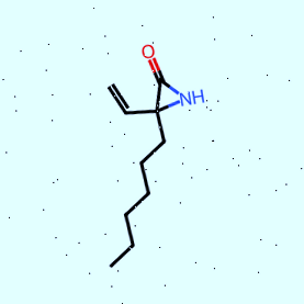 C=CC1(CCCCCC)NC1=O